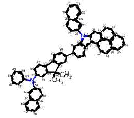 CC1(C)c2cc(-c3ccc4c5c6ccc7cccc8ccc(cc5n(-c5ccc9ccccc9c5)c4c3)c6c87)ccc2-c2ccc(N(c3ccccc3)c3ccc4ccccc4c3)cc21